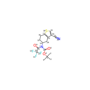 CC(C)(C)OC(=O)N(C(=O)C(F)(F)F)C1CCc2scc(C#N)c2C1